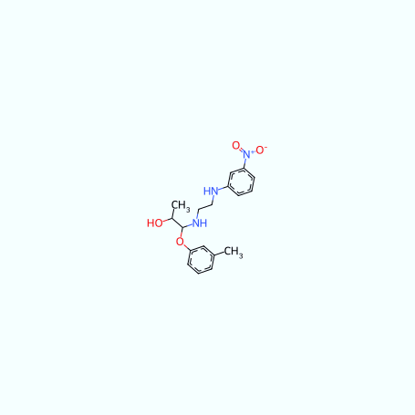 Cc1cccc(OC(NCCNc2cccc([N+](=O)[O-])c2)C(C)O)c1